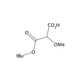 COC(C(=O)O)C(=O)OC(C)(C)C